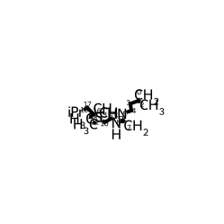 C=C(C)CCNC(=C)NCCS(C)(C)C(C)(C)CC(C)C